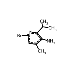 Cc1cc(Br)nc(C(C)C)c1N